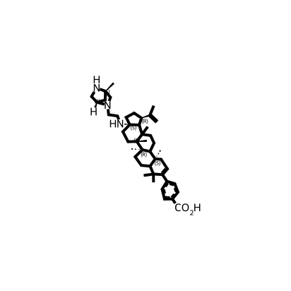 C=C(C)[C@@H]1CC[C@]2(NCCN3C[C@]4(C)C[C@H]3CN4)CC[C@]3(C)C(C)(CCC4[C@@]5(C)CC=C(c6ccc(C(=O)O)cc6)C(C)(C)C5CC[C@]43C)C12